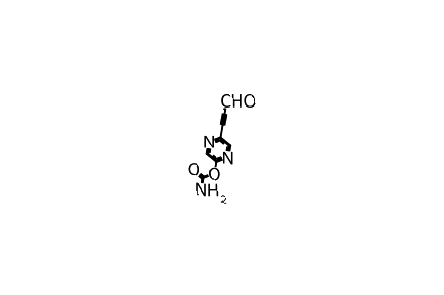 NC(=O)Oc1cnc(C#CC=O)cn1